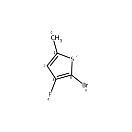 Cc1cc(F)c(Br)s1